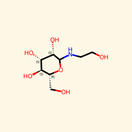 OCCNC1O[C@H](CO)[C@@H](O)[C@H](O)[C@@H]1O